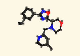 Cc1ccnc(CN2CCOCC2c2nc(-c3cccc(C#N)c3)no2)c1